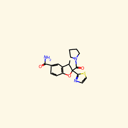 CC1c2cc(C(N)=O)ccc2OC1(C(=O)N1CCCC1)c1nccs1